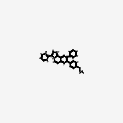 NCc1ccc(-c2nc3ccn4c(-c5ncccn5)nnc4c3cc2-c2ccccc2)cc1